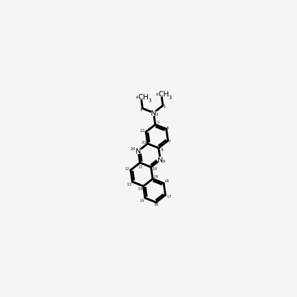 CCN(CC)c1ccc2nc3c(ccc4ccccc43)nc2c1